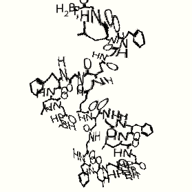 BP(C)C(=O)CNC(=O)C(CC(C)C)NC(=O)C(Cc1ccccc1)NC(=O)CNC(=O)CCC(NC(=O)CCC(C)C(=O)NC(CC(=O)NCC(=O)NC(Cc1ccccc1)C(=O)NC(CC(C)C)C(=O)NCC(=O)PBC)C(=O)NCC(=O)NC(Cc1ccccc1)C(=O)NC(CC(C)C)C(=O)NCC(=O)PBC)C(=O)NCC(=O)NC(Cc1ccccc1)C(=O)NC(CC(C)C)C(=O)NCC(=O)PBC